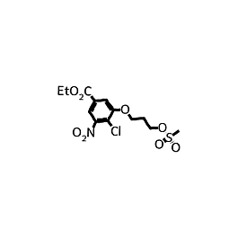 CCOC(=O)c1cc(OCCCOS(C)(=O)=O)c(Cl)c([N+](=O)[O-])c1